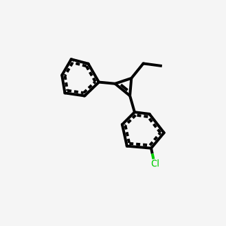 CCC1C(c2ccccc2)=C1c1ccc(Cl)cc1